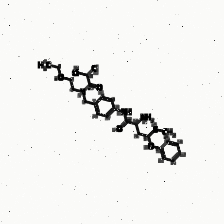 CCOCCN(Cc1ccc(NC(=O)C(N)CC(Oc2ccccc2)SC)cc1)C(=O)C(Cl)Cl